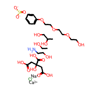 CC(O)CO.CCO.NCCO.O=C(O)CC(O)(CC(=O)O)C(=O)O.O=S([O-])[O-].OCCOCCOCCOc1ccccc1.[Ca+2].[Cl-].[Na+]